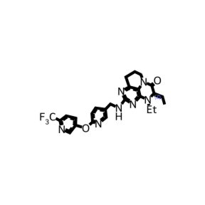 C/C=C1/C(=O)N2CCCc3nc(NCc4ccc(Oc5ccc(C(F)(F)F)nc5)nc4)nc(c32)N1CC